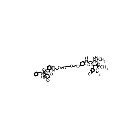 Cc1sc2c(c1C)C(c1ccc(Cl)cc1)=N[C@@H](CC(=O)Nc1ccc(OCCOCCOCCOCCNc3cccc4c3C(=O)N([C@@]3(C(=O)OCc5ccccc5)CCC(=O)NC3=O)C4=O)cc1)c1nnc(C)n1-2